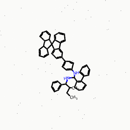 CCC(C)C(NC(Nc1ccc(-c2ccc3c(c2)-c2ccccc2C32C3C=CC=CC3C3C=CC=CC32)cc1)C1=C(c2ccccc2)C=CCC1)c1ccccc1